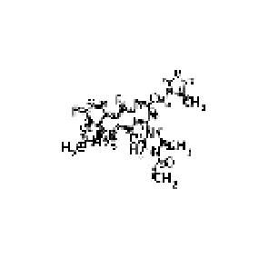 C=CC(=O)N1C[C@H](C)N(c2nc(OC[C@@H]3CCCN3C)nc3c(F)c(-c4ccc(F)c(SC(=C)N)c4C#N)c(C(F)(F)F)cc23)C[C@H]1C